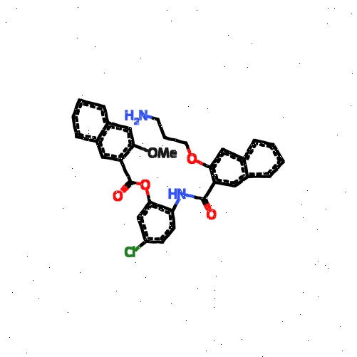 COc1cc2ccccc2cc1C(=O)Oc1cc(Cl)ccc1NC(=O)c1cc2ccccc2cc1OCCCN